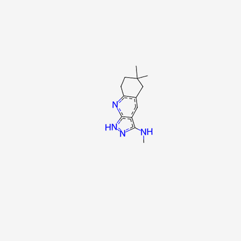 CNc1n[nH]c2nc3c(cc12)CC(C)(C)CC3